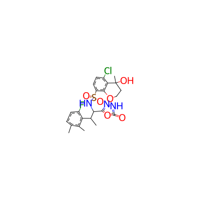 Cc1ccc(F)c(C(C)C(NS(=O)(=O)c2ccc(Cl)c3c2OCCC3(C)O)c2n[nH]c(=O)o2)c1C